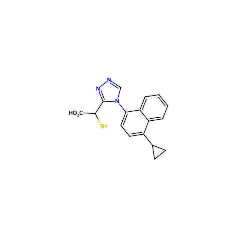 O=C(O)C(S)c1nncn1-c1ccc(C2CC2)c2ccccc12